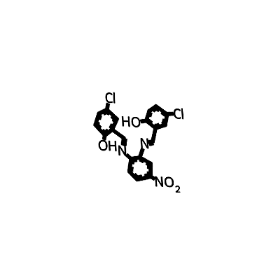 O=[N+]([O-])c1ccc(N=Cc2cc(Cl)ccc2O)c(N=Cc2cc(Cl)ccc2O)c1